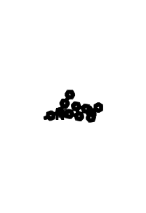 Cc1ccc(-c2cc(-c3ccc(-c4ccccc4)cc3)n(-c3ccc(-c4ccccc4-c4ccccc4-c4ccc5c(c4)c4ccccc4n5-c4ccccc4)cc3)n2)cc1